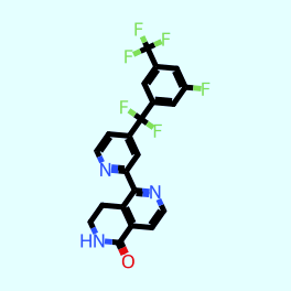 O=C1NCCc2c1ccnc2-c1cc(C(F)(F)c2cc(F)cc(C(F)(F)F)c2)ccn1